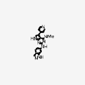 CNc1nc(Nc2ccc3cn[nH]c3c2)nc2[nH]cc(-c3ccncc3)c12